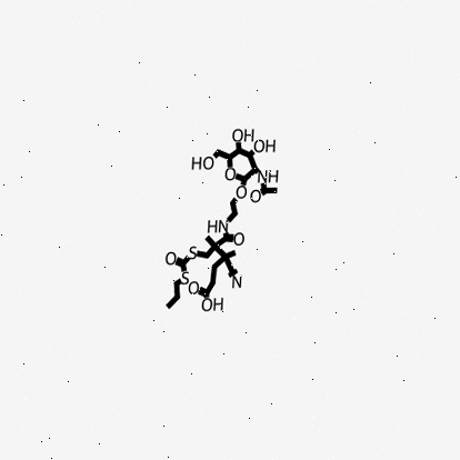 CCCSC(=O)SCC(C)(C(=O)NCCOC1OC(CO)C(O)C(O)C1NC(C)=O)C(C)(C#N)CCC(=O)O